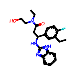 CCc1cc(C(CC(=O)N(CC)CCO)Nc2nc3ccccc3[nH]2)ccc1F